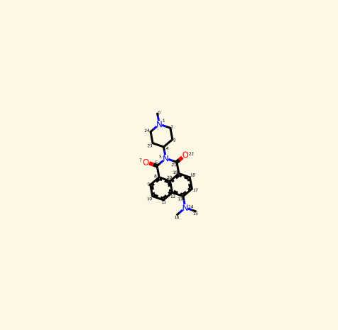 CN1CCC(N2C(=O)c3cccc4c(N(C)C)ccc(c34)C2=O)CC1